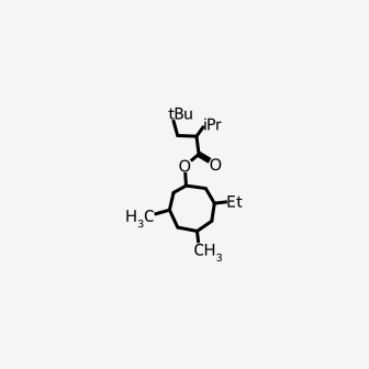 CCC1CC(C)CC(C)CC(OC(=O)C(CC(C)(C)C)C(C)C)C1